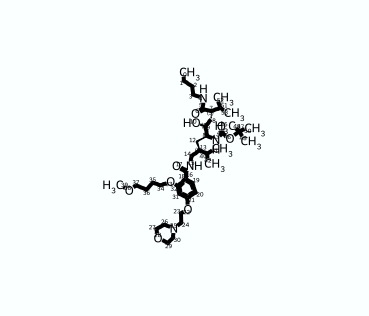 CCCCNC(=O)[C@@H](C[C@H](O)[C@H](C[C@H](CNC(=O)c1ccc(OCCN2CCOCC2)cc1OCCCCOC)C(C)C)NC(=O)OC(C)(C)C)C(C)C